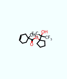 CC1(C(=O)OC2(C(O)(C(F)(F)F)C(F)(F)F)CCCC2)CC=CCC1